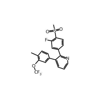 Cc1ccc(-c2cccnc2-c2ccc(S(C)(=O)=O)c(F)c2)cc1OC(F)(F)F